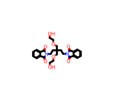 O=C1c2ccccc2C(=O)N1CCC(CCN1C(=O)c2ccccc2C1=O)(COCCO)COCCO